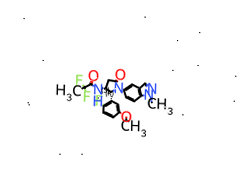 COc1ccc(F)c([C@@H]2[C@@H](NC(=O)C(C)(F)F)CC(=O)N2c2ccc3c(cnn3C)c2)c1